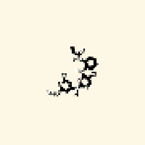 C=CC(=O)Nc1ccccc1Nc1nc(Nc2cc(Cl)nc(OC)c2)ncc1Cl